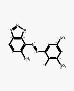 Cc1c(/N=N/c2c(N)ccc3nn[nH]c23)cc([N+](=O)[O-])cc1[N+](=O)[O-]